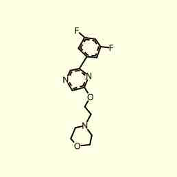 Fc1cc(F)cc(-c2cncc(OCCN3CCOCC3)n2)c1